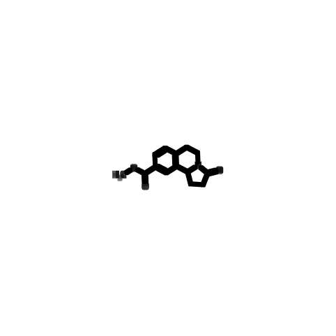 COC(=O)c1ccc2c(c1)C1CCC(=O)N1CC2